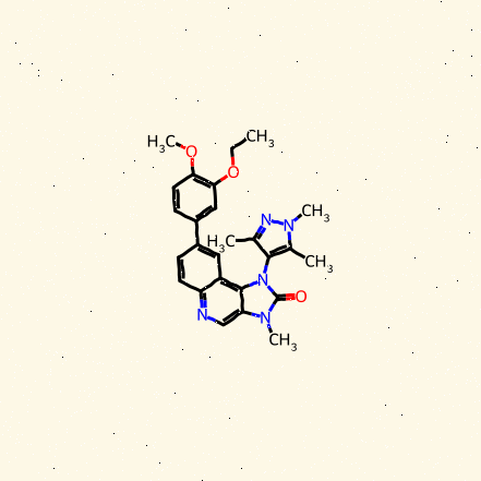 CCOc1cc(-c2ccc3ncc4c(c3c2)n(-c2c(C)nn(C)c2C)c(=O)n4C)ccc1OC